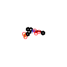 CS(=O)(=O)c1ccc(/C=C2/C(=N/OC(=O)COCc3ccccc3)CCc3ccccc32)cc1